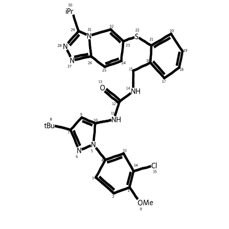 COc1ccc(-n2nc(C(C)(C)C)cc2NC(=O)NCc2ccccc2Sc2ccc3nnc(C(C)C)n3c2)cc1Cl